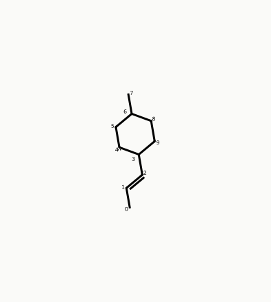 CC=CC1[C]CC(C)CC1